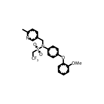 COc1ccccc1Oc1ccc(N(Cc2ccc(C)nc2)S(=O)(=O)CC(F)(F)F)cc1